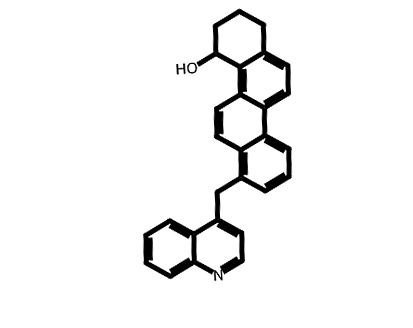 OC1CCCc2ccc3c(ccc4c(Cc5ccnc6ccccc56)cccc43)c21